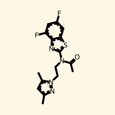 CC(=O)N(CCn1nc(C)cc1C)c1nc2c(F)cc(F)cc2s1